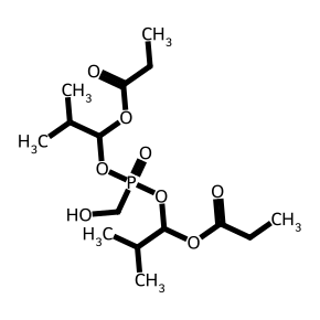 CCC(=O)OC(OP(=O)(CO)OC(OC(=O)CC)C(C)C)C(C)C